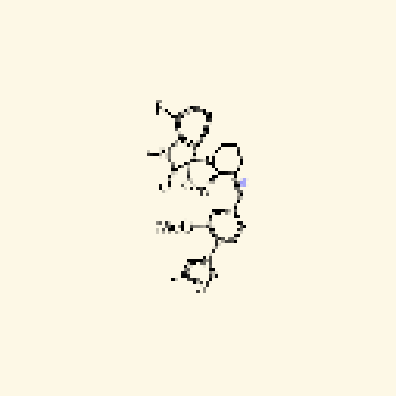 COc1cc(/C=C2/CCCN3C2=NOC32C(=O)N(C)c3c(F)cccc32)ccc1-n1cnc(C)c1